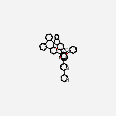 c1ccc(-c2cc(-c3ccc4c(c3)C3(c5ccccc5-c5ccccc5-4)c4ccccc4-c4cc5oc6ccccc6c5cc43)nc(-c3ccc(-c4cccnc4)nc3)n2)cc1